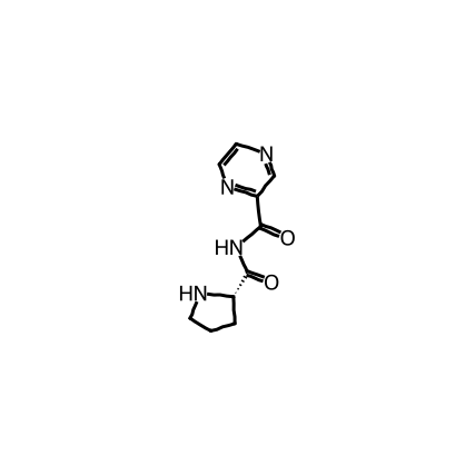 O=C(NC(=O)[C@@H]1CCCN1)c1cnccn1